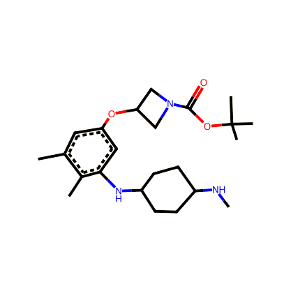 CNC1CCC(Nc2cc(OC3CN(C(=O)OC(C)(C)C)C3)cc(C)c2C)CC1